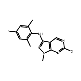 Cc1cc(F)cc(C)c1Nc1nn(C)c2nc(Cl)ncc12